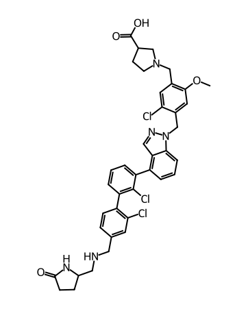 COc1cc(Cn2ncc3c(-c4cccc(-c5ccc(CNCC6CCC(=O)N6)cc5Cl)c4Cl)cccc32)c(Cl)cc1CN1CCC(C(=O)O)C1